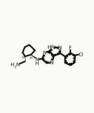 NC[C@@H]1CCCC[C@H]1Nc1cnc2c(-c3cccc(Cl)c3F)n[nH]c2n1